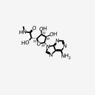 CNC(=O)C(O)[C@H]1O[C@@H](n2cnc3c(N)ncnc32)[C@H](O)[C@@H]1O